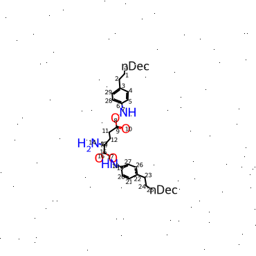 CCCCCCCCCCCCc1ccc(NOC(=O)CC[C@H](N)C(=O)ONc2ccc(CCCCCCCCCCCC)cc2)cc1